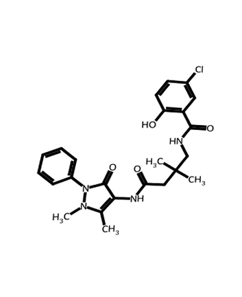 Cc1c(NC(=O)CC(C)(C)CNC(=O)c2cc(Cl)ccc2O)c(=O)n(-c2ccccc2)n1C